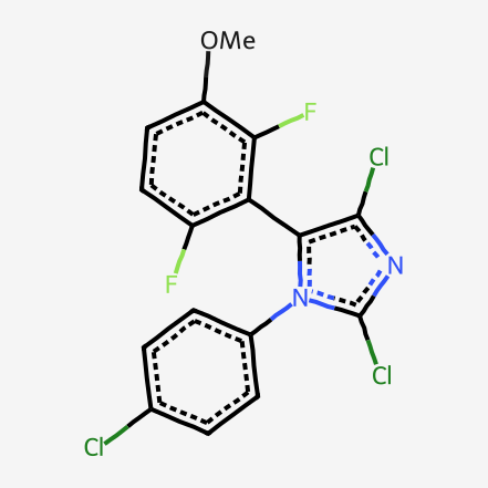 COc1ccc(F)c(-c2c(Cl)nc(Cl)n2-c2ccc(Cl)cc2)c1F